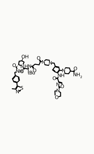 Cc1ncsc1-c1ccc(CNC(=O)[C@@H]2C[C@@H](O)CN2C(=O)[C@@H](NC(=O)CCC(=O)N2CCN(Cc3ccc(NC(=O)c4coc(N5CCOCC5)n4)c(N4CCC(C(N)=O)CC4)c3)CC2)C(C)(C)C)cc1